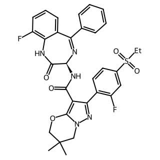 CCS(=O)(=O)c1ccc(-c2nn3c(c2C(=O)N[C@@H]2N=C(c4ccccc4)c4cccc(F)c4NC2=O)OCC(C)(C)C3)c(F)c1